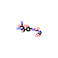 N#Cc1c(O)c2c(-c3ccc(C=NOCC(=O)N4CCC[C@@H]4CO)cc3)csc2[nH]c1=O